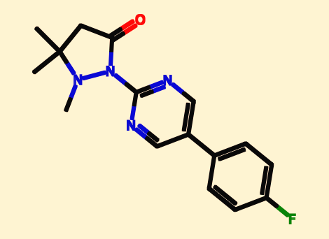 CN1N(c2ncc(-c3ccc(F)cc3)cn2)C(=O)CC1(C)C